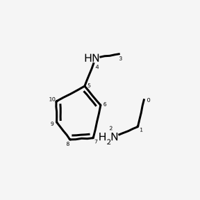 CCN.CNc1ccccc1